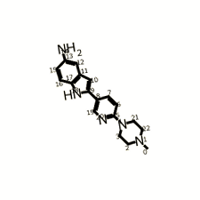 CN1CCN(c2ccc(-c3cc4cc(N)ccc4[nH]3)cn2)CC1